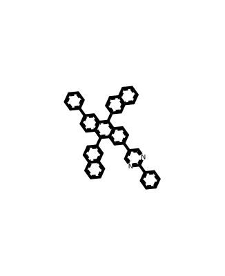 c1ccc(-c2ccc3c(-c4ccc5ccccc5c4)c4cc(-c5cnc(-c6ccccc6)nc5)ccc4c(-c4ccc5ccccc5c4)c3c2)cc1